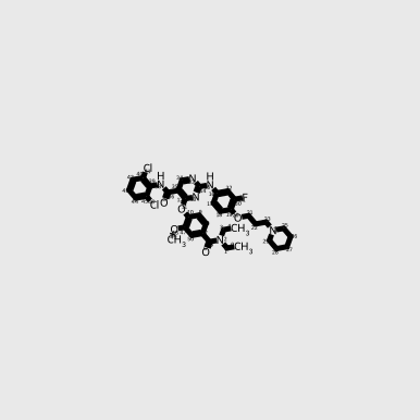 CCN(CC)C(=O)c1ccc(Oc2nc(Nc3ccc(OCCCN4CCCCC4)c(F)c3)ncc2C(=O)Nc2c(Cl)cccc2Cl)c(OC)c1